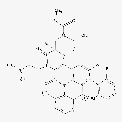 C=CC(=O)N1C[C@@H]2C(=O)N(CCN(C)C)c3c(c4cc(Cl)c(-c5c(O)cccc5F)[n+]5c4n(c3=O)-c3c(C)ccnc3C5C)N2C[C@H]1C